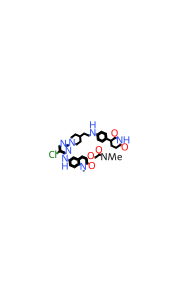 CNC(=O)COc1cc2cc(Nc3nc(N4CCC(CCNc5ccc(C6CCC(=O)NC6=O)cc5)CC4)ncc3Cl)ccc2n(C)c1=O